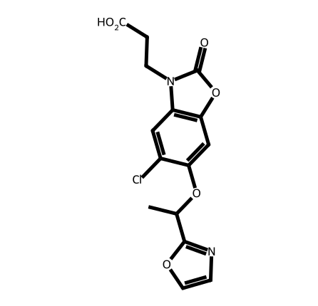 CC(Oc1cc2oc(=O)n(CCC(=O)O)c2cc1Cl)c1ncco1